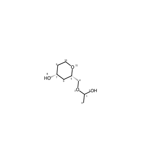 CC(O)OC[C@@H]1C[C@H](O)CCO1